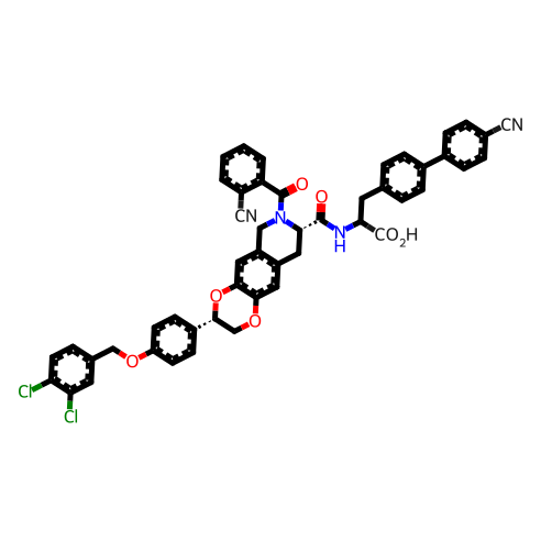 N#Cc1ccc(-c2ccc(CC(NC(=O)[C@@H]3Cc4cc5c(cc4CN3C(=O)c3ccccc3C#N)O[C@@H](c3ccc(OCc4ccc(Cl)c(Cl)c4)cc3)CO5)C(=O)O)cc2)cc1